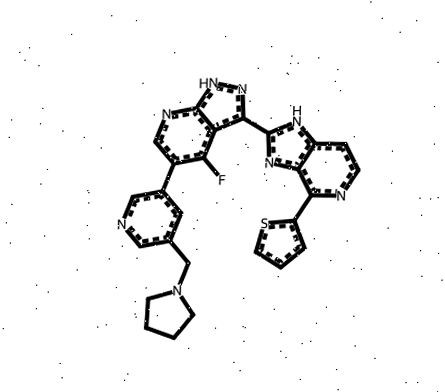 Fc1c(-c2cncc(CN3CCCC3)c2)cnc2[nH]nc(-c3nc4c(-c5cccs5)nccc4[nH]3)c12